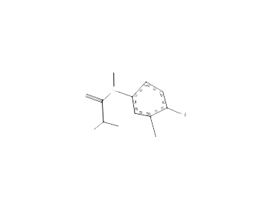 C=C(C(F)F)N(C)c1ccc(N)c(C)c1